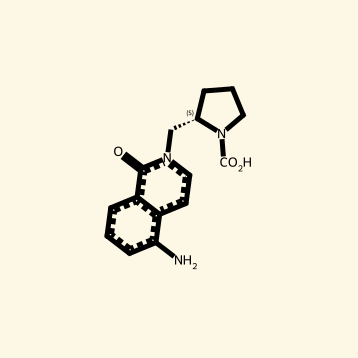 Nc1cccc2c(=O)n(C[C@@H]3CCCN3C(=O)O)ccc12